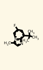 Cc1cnc2c(C(C)(C)C)cc(F)cn12